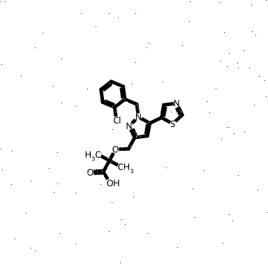 CC(C)(OCc1cc(-c2cncs2)n(Cc2ccccc2Cl)n1)C(=O)O